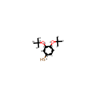 CC(C)(C)Oc1ccc(S)cc1OC(C)(C)C